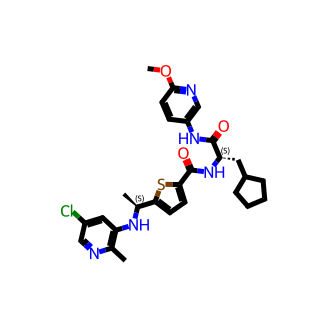 COc1ccc(NC(=O)[C@H](CC2CCCC2)NC(=O)c2ccc([C@H](C)Nc3cc(Cl)cnc3C)s2)cn1